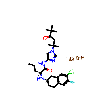 Br.Br.CCC[C@H](N[C@H]1CCc2cc(F)c(Cl)cc2C1)C(=O)Nc1cn(C(C)(C)CC(=O)C(C)(C)C)cn1